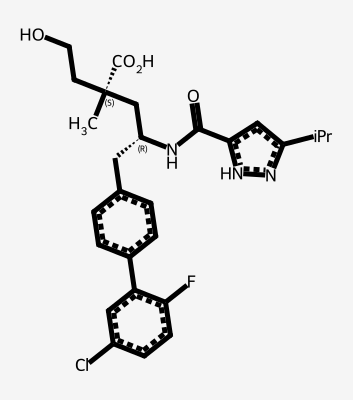 CC(C)c1cc(C(=O)N[C@H](Cc2ccc(-c3cc(Cl)ccc3F)cc2)C[C@@](C)(CCO)C(=O)O)[nH]n1